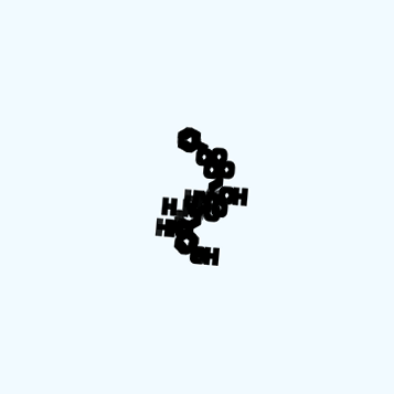 N[C@@H](Cc1c[nH]c2ccc(O)cc12)C(=O)N[C@@H](CCC(=O)OC(=O)OCc1ccccc1)C(=O)O